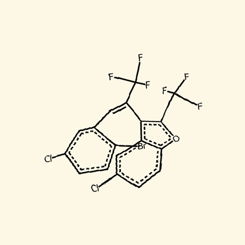 FC(F)(F)/C(=C/c1cc(Cl)ccc1Br)c1c(C(F)(F)F)oc2ccc(Cl)cc12